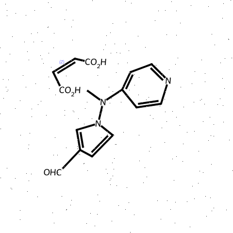 CN(c1ccncc1)n1ccc(C=O)c1.O=C(O)/C=C\C(=O)O